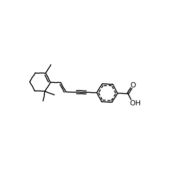 CC1=C(C=CC#Cc2ccc(C(=O)O)cc2)C(C)(C)CCC1